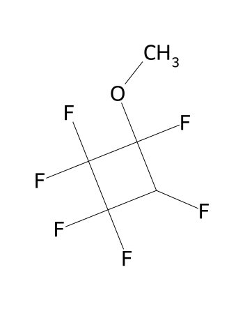 COC1(F)C(F)C(F)(F)C1(F)F